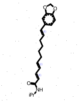 CC(C)NC(=O)/C=C/C=C/CCCC/C=C/c1ccc2c(c1)OCO2